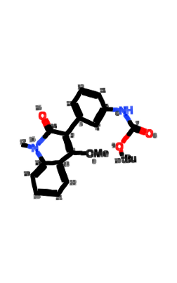 COc1c(-c2[c]c(NC(=O)OC(C)(C)C)ccc2)c(=O)n(C)c2ccccc12